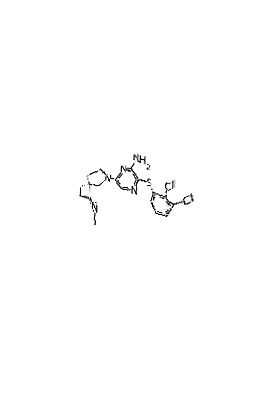 C/N=C1\CC[C@@]12CCN(c1cnc(Sc3cccc(Cl)c3Cl)c(N)n1)C2